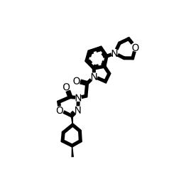 C[C@H]1CC[C@@H](C2=NN(CC(=O)N3CCc4c(N5CCOCC5)cccc43)C(=O)CO2)CC1